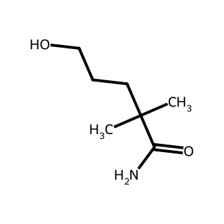 CC(C)(CCCO)C(N)=O